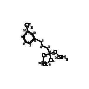 CCOC(CCCc1cccc(C(F)(F)F)c1)(O[SiH3])OCC